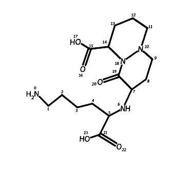 NCCCCC(NC1CCN2CCCC(C(=O)O)N2C1=O)C(=O)O